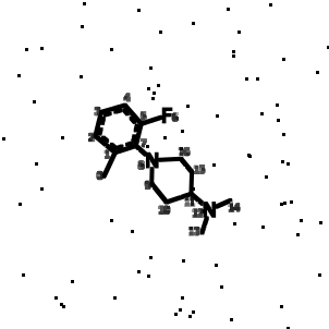 Cc1cccc(F)c1N1CCC(N(C)C)CC1